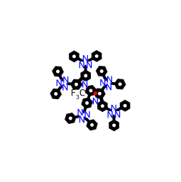 FC(F)(F)c1c(-c2ccc(-c3nc(-c4ccccc4)nc(-c4ccccc4)n3)cc2-n2c3ccc(-c4nc(-c5ccccc5)nc(-c5ccccc5)n4)cc3c3cc(-c4nc(-c5ccccc5)nc(-c5ccccc5)n4)ccc32)cccc1-n1c2ccc(-c3nc(-c4ccccc4)nc(-c4ccccc4)n3)cc2c2cc(-c3nc(-c4ccccc4)nc(-c4ccccc4)n3)ccc21